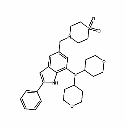 O=S1(=O)CCN(Cc2cc(N(C3CCOCC3)C3CCOCC3)c3[nH]c(-c4ccccc4)cc3c2)CC1